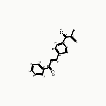 C=C(C)C(=O)c1ccc(/C=C/C(=O)c2ccccc2)cc1